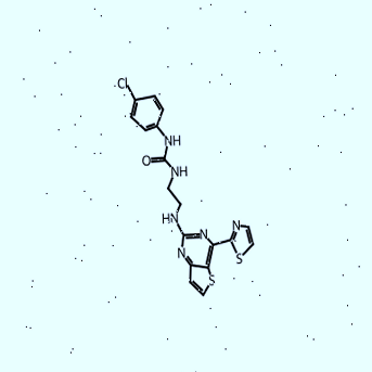 O=C(NCCNc1nc(-c2nccs2)c2sccc2n1)Nc1ccc(Cl)cc1